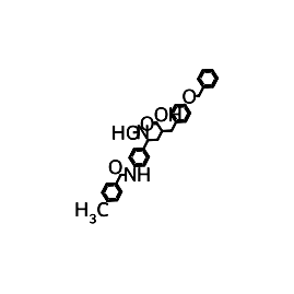 Cc1ccc(C(=O)Nc2ccc(C(CC(Cc3ccc(OCc4ccccc4)cc3)C(=O)O)=NO)cc2)cc1